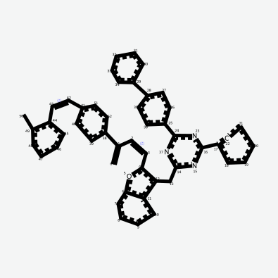 C=C(/C=C\c1oc2ccccc2c1Cc1nc(-c2ccccc2)nc(-c2ccc(-c3ccccc3)cc2)n1)c1ccc(/C=C\c2ccccc2C)cc1